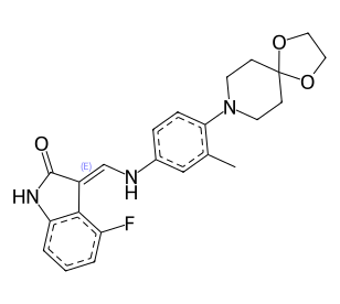 Cc1cc(N/C=C2/C(=O)Nc3cccc(F)c32)ccc1N1CCC2(CC1)OCCO2